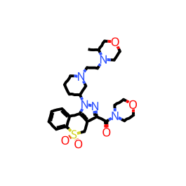 CC1COCCN1CCN1CCCC(n2nc(C(=O)N3CCOCC3)c3c2-c2ccccc2S(=O)(=O)C3)C1